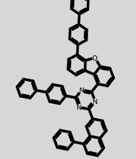 c1ccc(-c2ccc(-c3nc(-c4ccc5cccc(-c6ccccc6)c5c4)nc(-c4cccc5oc6c(-c7ccc(-c8ccccc8)cc7)cccc6c45)n3)cc2)cc1